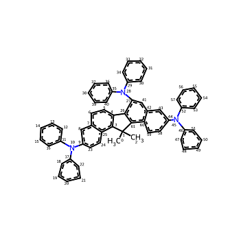 CC1(C)c2c(ccc3cc(N(c4ccccc4)c4ccccc4)ccc23)-c2c(N(c3ccccc3)c3ccccc3)cc3cc(N(c4ccccc4)c4ccccc4)ccc3c21